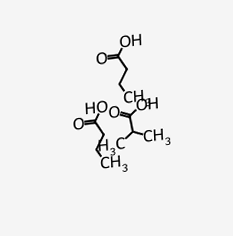 CC(C)C(=O)O.CCCC(=O)O.CCCC(=O)O